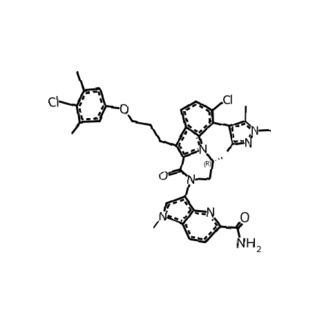 Cc1cc(OCCCc2c3n(c4c(-c5c(C)nn(C)c5C)c(Cl)ccc24)[C@H](C)CN(c2cn(C)c4ccc(C(N)=O)nc24)C3=O)cc(C)c1Cl